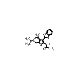 CC(=O)Nc1sc2c(c1-c1nc3ccccc3s1)[C@@H](C)CN(C(C)C)C2